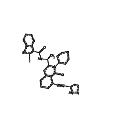 C[C@H](NC(=O)c1c(I)nn2cccnc12)c1cc2cccc(C#Cc3ccn[nH]3)c2c(=O)n1-c1ccccc1